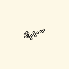 c1ccc([Si]2(c3ccccc3)c3ccc4c5ccccc5c5cc(-c6c7ccccc7c(-c7ccc(-c8ccc9c(ccc%10ccccc%109)c8)cc7)c7ccccc67)ccc5c4c3-c3ccc4ccccc4c32)cc1